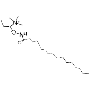 CCCCCCCCCCCCCCCC(=O)NOC(CC)[N+](C)(C)C